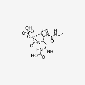 CCNC(=O)n1ncc2c1C(CC(=N)NC(=O)O)N1CC2N(OS(=O)(=O)O)C1=O